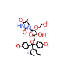 C=C/C=C(\C=C/C)C(OC[C@H]1O[C@@H](n2cc(C)c(=O)[nH]c2=O)C(OCCOC)C1O)(c1ccc(OC)cc1)c1ccc(OC)cc1